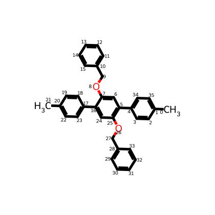 Cc1ccc(-c2cc(OCc3ccccc3)c(-c3ccc(C)cc3)cc2OCc2ccccc2)cc1